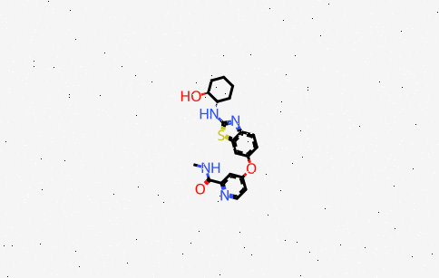 CNC(=O)c1cc(Oc2ccc3nc(N[C@H]4CCCC[C@@H]4O)sc3c2)ccn1